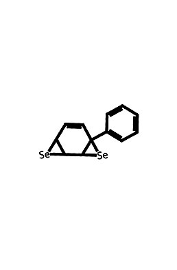 C1=CC2(c3ccccc3)[Se]C2C2[Se]C12